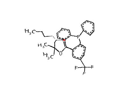 CCCC[C@@H]1N=C(c2cc(C(F)(F)F)ccc2P(c2ccccc2)c2ccccc2)OC1(C)C